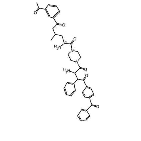 CC(=O)c1cccc(C(=O)CC(C)C[C@H](N)C(=O)N2CCN(C(=O)C(N)C(C(=O)c3ccc(C(=O)c4ccccc4)cc3)c3ccccc3)CC2)c1